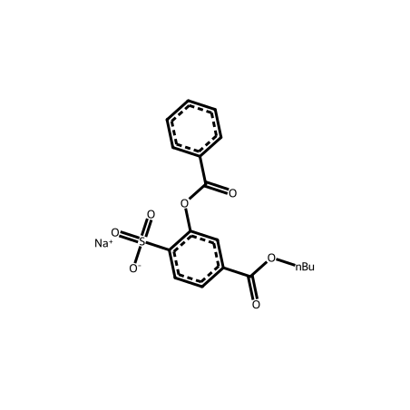 CCCCOC(=O)c1ccc(S(=O)(=O)[O-])c(OC(=O)c2ccccc2)c1.[Na+]